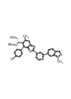 Cc1cc2nc(-c3ccnc(-c4ccc5cnn(C)c5c4)c3)sc2c(-c2ccc(Cl)cc2)c1[C@@H](CO)OC(C)(C)C